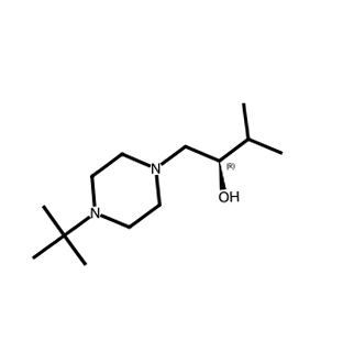 CC(C)[C@@H](O)CN1CCN(C(C)(C)C)CC1